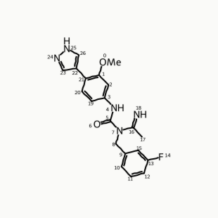 COc1cc(NC(=O)N(Cc2cccc(F)c2)C(C)=N)ccc1-c1cn[nH]c1